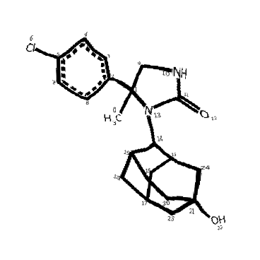 CC1(c2ccc(Cl)cc2)CNC(=O)N1C1C2CC3CC1CC(O)(C3)C2